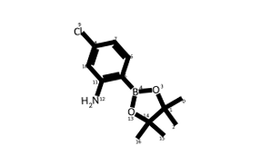 CC1(C)OB(c2ccc(Cl)cc2N)OC1(C)C